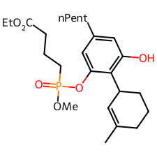 CCCCCc1cc(O)c(C2C=C(C)CCC2)c(OP(=O)(CCCC(=O)OCC)OC)c1